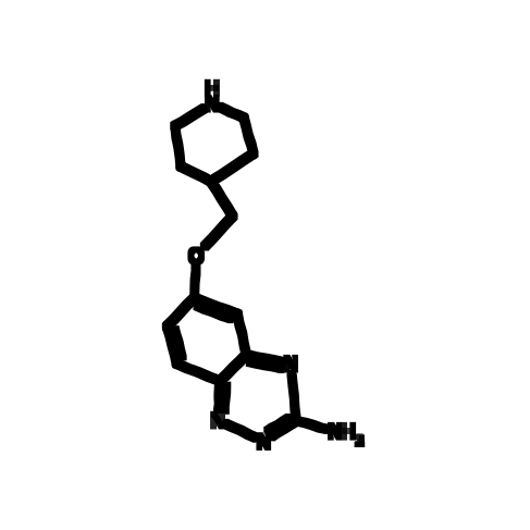 Nc1nnc2ccc(OCC3CCNCC3)cc2n1